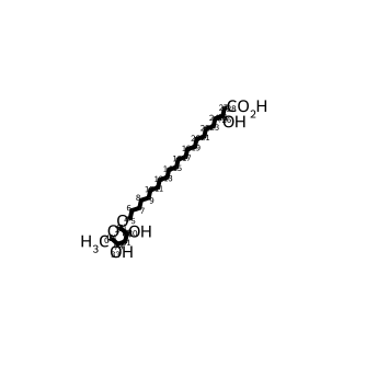 C[C@@H]1O[C@@H](OCCCCCCCCCCCCCCCCCCCC[C@@H](O)CC(=O)O)[C@H](O)C[C@H]1O